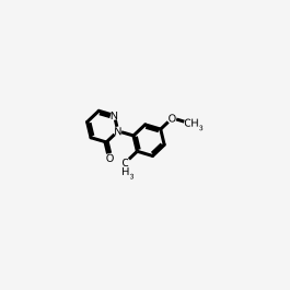 COc1ccc(C)c(-n2ncccc2=O)c1